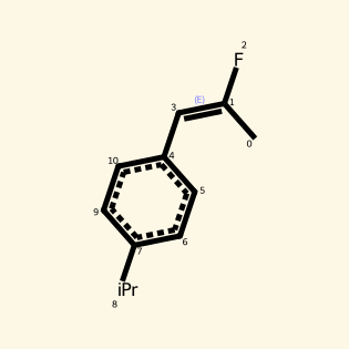 C/C(F)=C\c1ccc(C(C)C)cc1